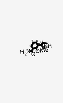 COc1c(C(N)=O)cccc1-c1cc[nH]n1